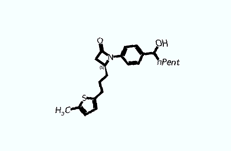 CCCCCC(O)c1ccc(N2C(=O)C[C@@H]2CCCc2ccc(C)s2)cc1